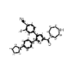 N#Cc1ccc(-c2cc(C(=O)N3CCCNCC3)sc2-c2ccc(N3CCCC3)cc2)cc1F